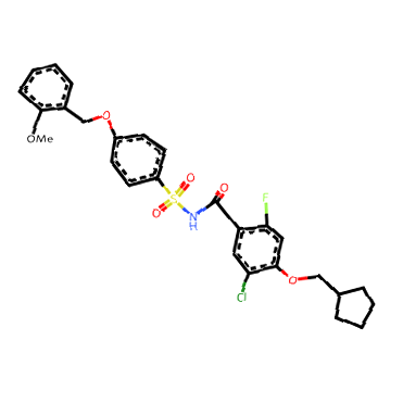 COc1ccccc1COc1ccc(S(=O)(=O)NC(=O)c2cc(Cl)c(OCC3CCCC3)cc2F)cc1